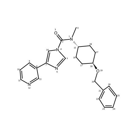 CN(C(=O)n1cnc(-c2cccnc2)c1)[C@H]1CC[C@H](OCc2ccccc2)CC1